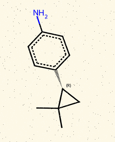 CC1(C)C[C@H]1c1ccc(N)cc1